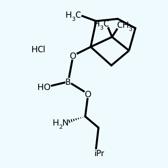 CC(C)C[C@H](N)OB(O)OC12CC(CCC1C)C2(C)C.Cl